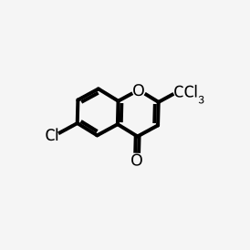 O=c1cc(C(Cl)(Cl)Cl)oc2ccc(Cl)cc12